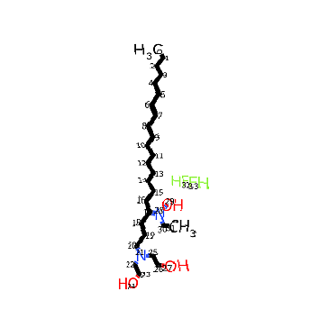 CCCCCCCCCCCCCCCCCC(CCCN(CCO)CCO)N(O)CC.F.F